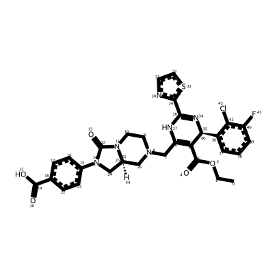 CCOC(=O)C1=C(CN2CCN3C(=O)N(c4ccc(C(=O)O)cc4)C[C@@H]3C2)NC(c2nccs2)=N[C@H]1c1cccc(F)c1Cl